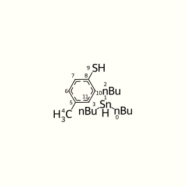 CCC[CH2][SnH]([CH2]CCC)[CH2]CCC.Cc1ccc(S)cc1